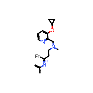 C=C(C)/N=C(\CC)CCN(C)Cc1ncccc1OC1CC1